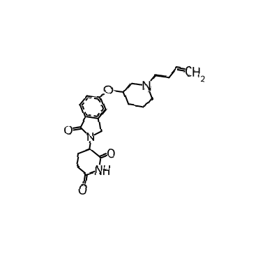 C=CCCN1CCCC(Oc2ccc3c(c2)CN(C2CCC(=O)NC2=O)C3=O)C1